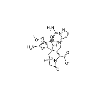 CON=CC(=O)NC1(c2csc(N)n2)S[C@H]2CC(=O)N2C(C(=O)[O-])=C1C[n+]1ccc(N)n2nccc21